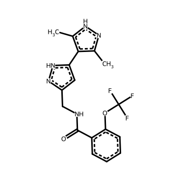 Cc1n[nH]c(C)c1-c1cc(CNC(=O)c2ccccc2OC(F)(F)F)n[nH]1